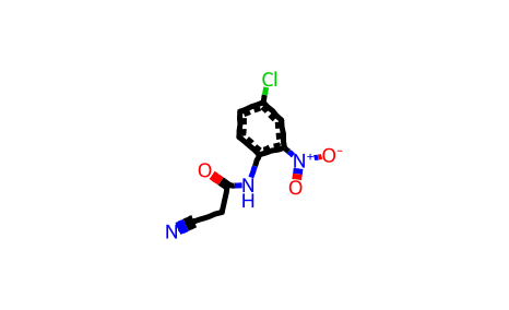 N#CCC(=O)Nc1ccc(Cl)cc1[N+](=O)[O-]